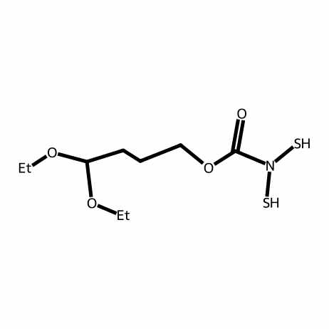 CCOC(CCCOC(=O)N(S)S)OCC